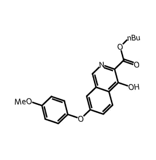 CCCCOC(=O)c1ncc2cc(Oc3ccc(OC)cc3)ccc2c1O